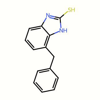 Sc1nc2cccc(Cc3ccccc3)c2[nH]1